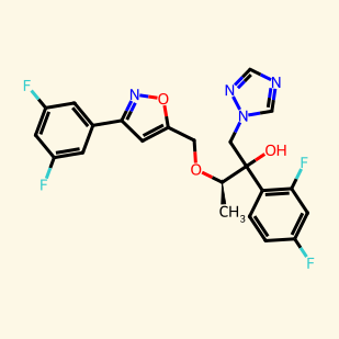 C[C@@H](OCc1cc(-c2cc(F)cc(F)c2)no1)C(O)(Cn1cncn1)c1ccc(F)cc1F